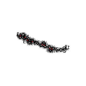 C=CC(CC)OC(=O)c1ccc(-c2ccc(-c3ccc4c(c3)C3(c5cc(-c6ccc7c(c6)C6(c8cc(-c9cc%10sc(-c%11ccc%12c(c%11)C%11(c%13cc(-c%14ccc%15c(c%14)C%14(c%16cc(C)ccc%16-%15)C(CC)(CC)CCCC%14(CC)CC)ccc%13-%12)C(CC)(CC)CCCC%11(CC)CC)cc%10s9)ccc8-7)C(C)(C)CCC6(C)C)ccc5-4)C(C)(C)CCC3(C)C)s2)cc1